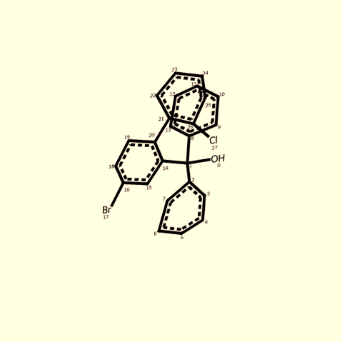 OC(c1ccccc1)(c1ccccc1)c1cc(Br)ccc1-c1ccccc1Cl